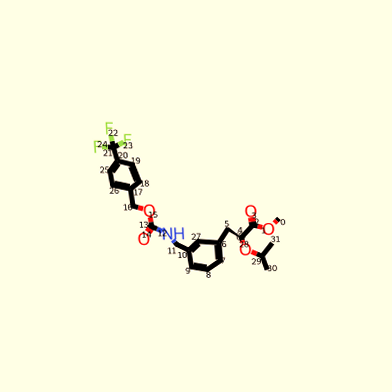 COC(=O)[C@H](Cc1cccc(CNC(=O)OCc2ccc(C(F)(F)F)cc2)c1)OC(C)C